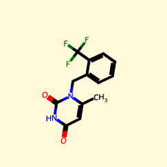 Cc1cc(=O)[nH]c(=O)n1Cc1ccccc1C(F)(F)F